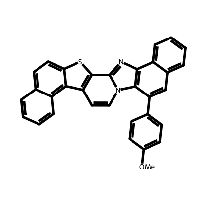 COc1ccc(-c2cc3ccccc3c3nc4c5sc6ccc7ccccc7c6c5ccn4c23)cc1